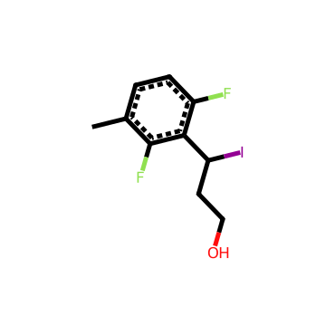 Cc1ccc(F)c(C(I)CCO)c1F